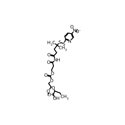 CCC(CO)OC(COC(=O)OCCC(=O)NC(=O)CCC(C)(C)SSc1ccc([N+](=O)[O-])cn1)OC